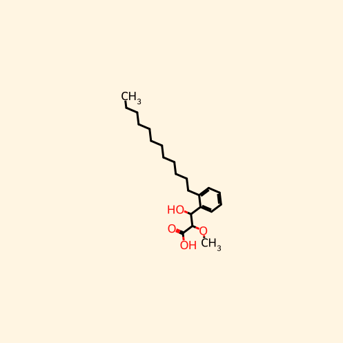 CCCCCCCCCCCCc1ccccc1C(O)C(OC)C(=O)O